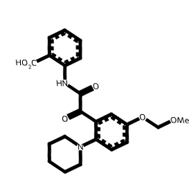 COCOc1ccc(N2CCCCC2)c(C(=O)C(=O)Nc2ccccc2C(=O)O)c1